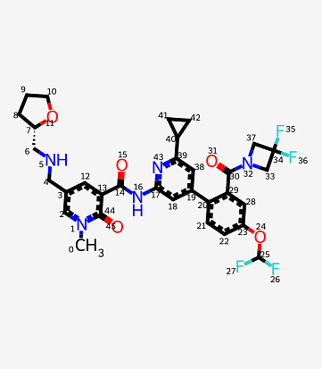 Cn1cc(CNC[C@@H]2CCCO2)cc(C(=O)Nc2cc(-c3ccc(OC(F)F)cc3C(=O)N3CC(F)(F)C3)cc(C3CC3)n2)c1=O